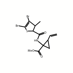 C=CC1CC1(NC(=O)C1SC(Br)=C(Br)C1C)C(=O)OC